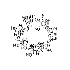 OCC1O[C@@H]2O[C@@H]3C(CO)O[C@H](O[C@@H](CO)C(CO)O[C@@H](CO)O[C@@H]4C(CO)O[C@H](O[C@@H]5C(CO)OC(O[C@@H]6C(CO)O[C@H](O[C@@H]7C(CO)O[C@H](O[C@H]1C(O)[C@H]2O)C(O)[C@H]7O)C(O)[C@H]6O)C(O)[C@H]5O)[C@H](O)C4O)[C@H](O)C3O